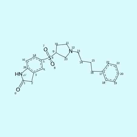 O=C1Cc2cc(S(=O)(=O)C3CCN(CCCCc4ccccc4)C3)ccc2N1